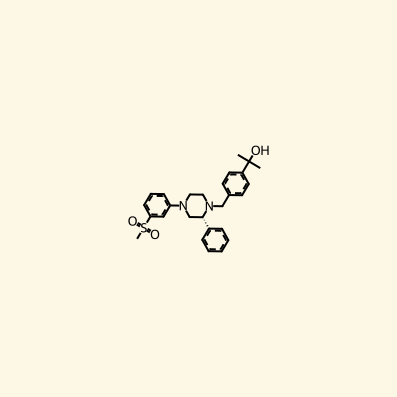 CC(C)(O)c1ccc(CN2CCN(c3cccc(S(C)(=O)=O)c3)C[C@H]2c2ccccc2)cc1